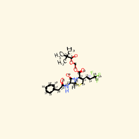 CC(C)(C)C(=O)OCOC(=O)C1=C(/C=C/C(F)(F)F)CS[C@@H]2C(NC(=O)Cc3ccccc3)C(=O)N12